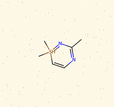 CC1=NC=C[SH](C)(C)=N1